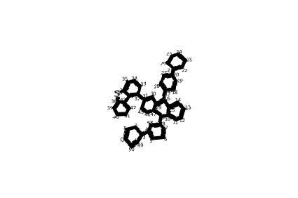 C1=CCC(c2cccc(-c3c4ccccc4c(-c4ccc(-c5ccccc5)cc4)c4cc(-c5cccc6sc7ccccc7c56)ccc34)c2)C=C1